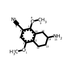 COc1cc(C#N)c(OC)c2c1CCC(N)C2